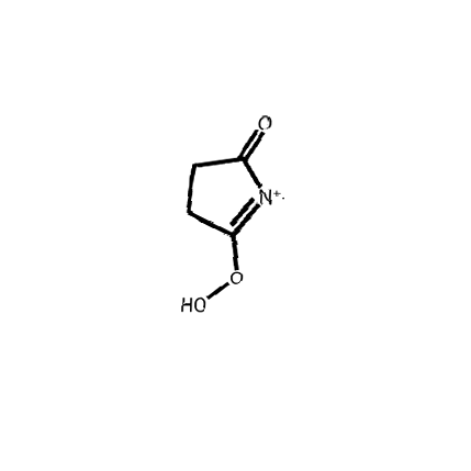 O=C1CCC(OO)=[N+]1